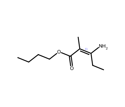 CCCCOC(=O)/C(C)=C(/N)CC